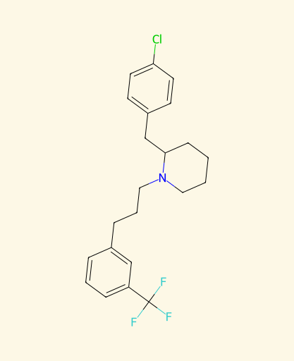 FC(F)(F)c1cccc(CCCN2CCCCC2Cc2ccc(Cl)cc2)c1